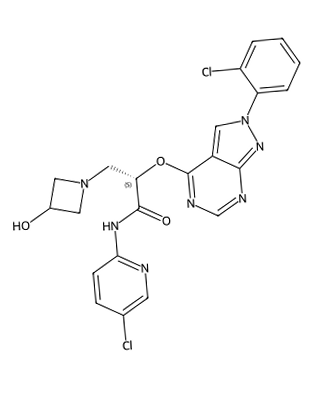 O=C(Nc1ccc(Cl)cn1)[C@H](CN1CC(O)C1)Oc1ncnc2nn(-c3ccccc3Cl)cc12